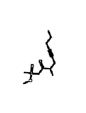 CCCC#CCC(C)C(=O)CP(C)(=O)OC